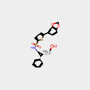 C[C@H]1[C@H](NS(=O)(=O)c2ccc(-c3ccc4c(c3)OCO4)s2)[C@H]1c1ccccc1.O=C(O)O